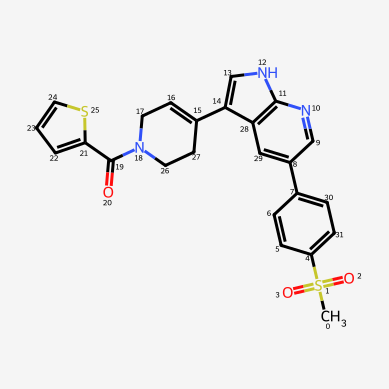 CS(=O)(=O)c1ccc(-c2cnc3[nH]cc(C4=CCN(C(=O)c5cccs5)CC4)c3c2)cc1